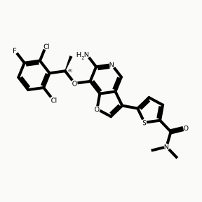 C[C@@H](Oc1c(N)ncc2c(-c3ccc(C(=O)N(C)C)s3)coc12)c1c(Cl)ccc(F)c1Cl